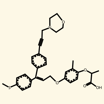 CSc1ccc(/C(=C/COc2ccc(OC(C)C(=O)O)c(C)c2)c2ccc(C#CCN3CCOCC3)cc2)cc1